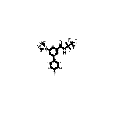 CC(C)(NC(=O)c1cc(-c2ccc(F)cc2)cc(-n2cnnc2)c1)C(F)(F)F